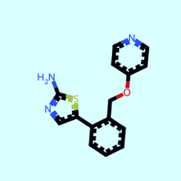 Nc1ncc(-c2ccccc2COc2ccncc2)s1